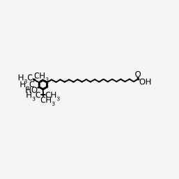 CC(C)(C)c1cc(CCCCCCCCCCCCCCCCCCCCC(=O)O)cc(C(C)(C)C)c1O